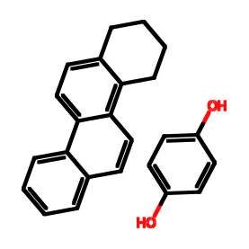 Oc1ccc(O)cc1.c1ccc2c(c1)ccc1c3c(ccc12)CCCC3